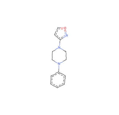 c1ccc(N2CCN(c3ccon3)CC2)cc1